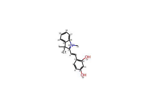 CCC1(C)C(/C=C/c2ccc(O)cc2O)=[N+](C)c2ccccc21